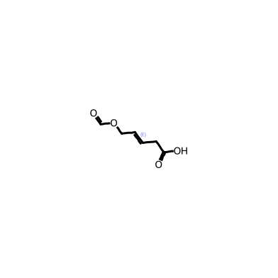 O=COC/C=C/CC(=O)O